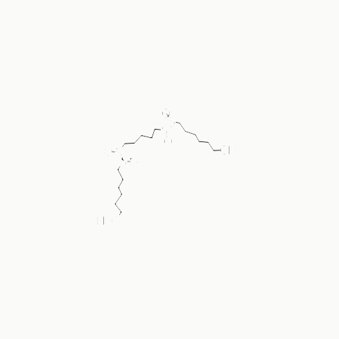 CCCCCCC[S+]([O-])[S+]([O-])CCCCC[S+]([O-])[S+]([O-])CCCCCCC